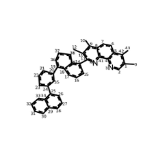 Cc1cnc2c(ccc3c(C)c(C)c(-c4cccc5c(-c6cccc(-c7cccc8ccccc78)c6)cccc45)nc32)c1C